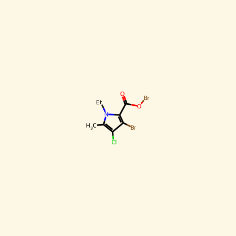 CCn1c(C)c(Cl)c(Br)c1C(=O)OBr